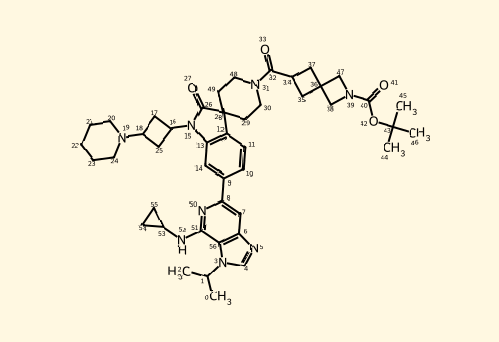 CC(C)n1cnc2cc(-c3ccc4c(c3)N(C3CC(N5CCCCC5)C3)C(=O)C43CCN(C(=O)C4CC5(C4)CN(C(=O)OC(C)(C)C)C5)CC3)nc(NC3CC3)c21